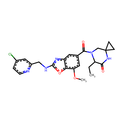 CCC1C(=O)NC2(CC2)CN1C(=O)c1cc(OC)c2oc(NCc3cc(Cl)ccn3)nc2c1